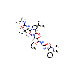 CCCCC(NC(=O)[C@@H]1C2C(CN1C(=O)[C@@H](NC(=O)NC(C)C)C(C)(C)C)C2(C)C)C(=O)C(=O)NCC(=O)N[C@H](C(=O)N(C)C)c1ccccc1